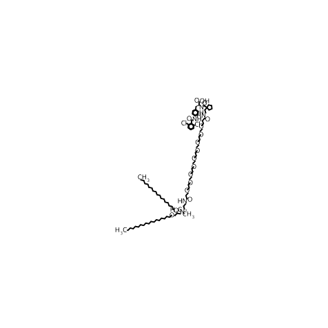 CCCCCCCCCCCCCCCCCCOCC(C[N+](C)(C)CCCNC(=O)CCOCCOCCOCCOCCOCCOCCOCCOCCOCCC(=O)NCCC1(C(=O)N[C@@H](Cc2ccc(NC(=O)c3c(Cl)cccc3Cl)cc2)C(=O)O)CCCC1)OCCCCCCCCCCCCCCCCCC